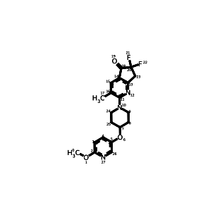 COc1ccc(OC2CCN(c3nc4c(cc3C)C(=O)C(F)(F)C4)CC2)cn1